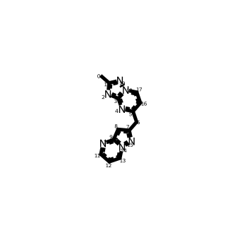 Cc1nc2nc(Cc3cc4ncccn4n3)ccn2n1